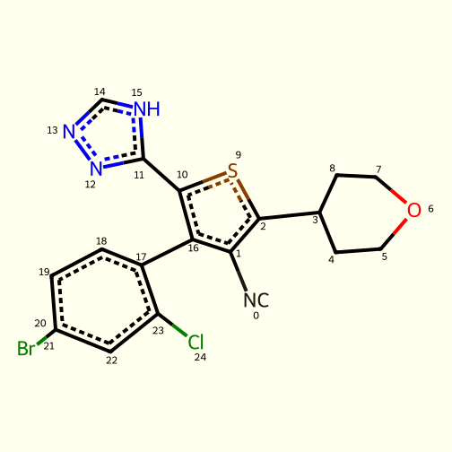 [C-]#[N+]c1c(C2CCOCC2)sc(-c2nnc[nH]2)c1-c1ccc(Br)cc1Cl